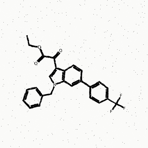 CCOC(=O)C(=O)c1cn(Cc2ccccc2)c2cc(-c3ccc(C(F)(F)F)cc3)ccc12